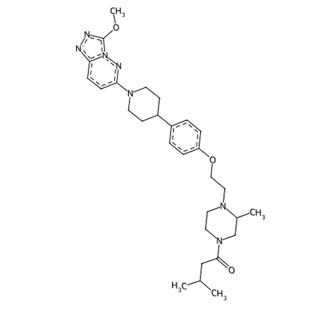 COc1nnc2ccc(N3CCC(c4ccc(OCCN5CCN(C(=O)CC(C)C)CC5C)cc4)CC3)nn12